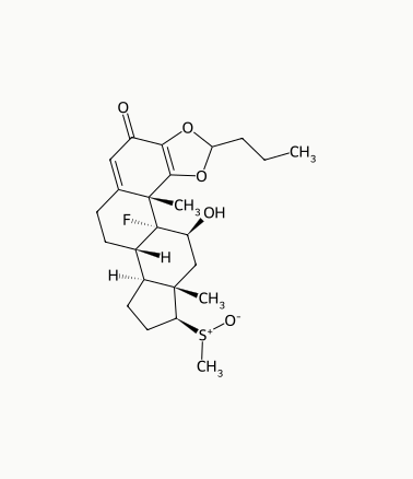 CCCC1OC2=C(O1)[C@@]1(C)C(=CC2=O)CC[C@H]2[C@@H]3CC[C@H]([S+](C)[O-])[C@@]3(C)C[C@H](O)[C@@]21F